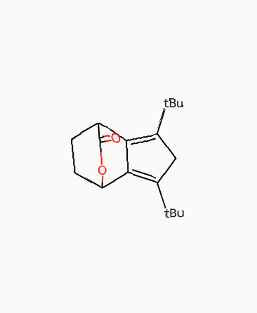 CC(C)(C)C1=C2C(=C(C(C)(C)C)C1)C1CCC2OC1=O